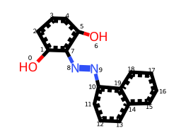 Oc1cccc(O)c1N=Nc1cccc2ccccc12